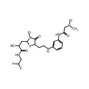 CCN(C)CC(=O)Nc1cccc(NCCC2SC(CC(C#N)C(=O)NCC(F)F)N(CC)C2=O)c1